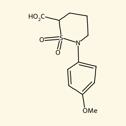 COc1ccc(N2CCCC(C(=O)O)S2(=O)=O)cc1